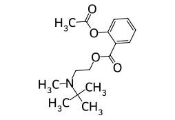 CC(=O)Oc1ccccc1C(=O)OCCN(C)C(C)(C)C